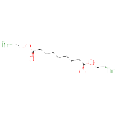 O=C(CCCCCCCC(=O)OCCBr)OCCBr